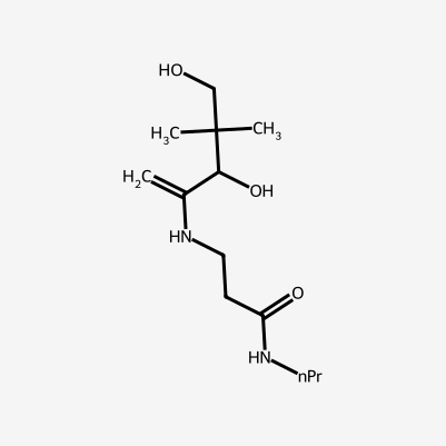 C=C(NCCC(=O)NCCC)C(O)C(C)(C)CO